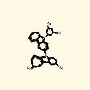 CC(C)(C)c1cc(-n2c3ccccc3c3cc(-n4c5ccc(C(C)(C)C)cc5c5cc(C(C)(C)C)ccc54)ccc32)cc(C(C)(C)C)c1